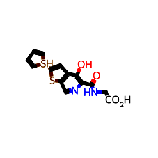 O=C(O)CNC(=O)c1ncc2sc([SH]3C=CC=C3)cc2c1O